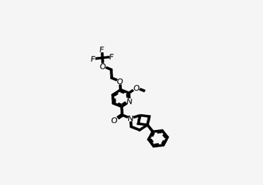 COc1nc(C(=O)N2CCC3(c4ccccc4)CC2C3)ccc1OCCOC(F)(F)F